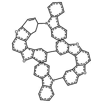 C1=CC(n2c3ccccc3c3ccccc32)Cc2c1oc1ccc3oc4ccc(-c5ccc6oc7ccc8oc9ccc(-n%10c%11ccccc%11c%11ccccc%11%10)cc9c8c7c6c5)cc4c3c21